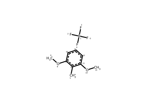 F[B-](F)(F)F.[CH2+]c1c(OC)cccc1OC